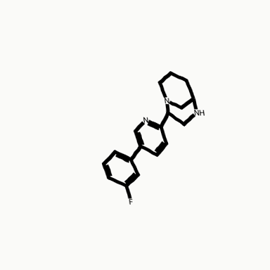 Fc1cccc(-c2ccc(C3CNC4CCCN3C4)nc2)c1